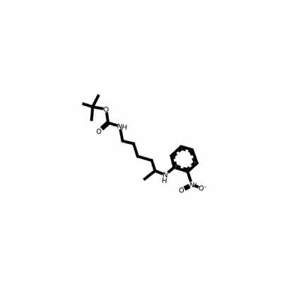 CC(CCCCNC(=O)OC(C)(C)C)Nc1ccccc1[N+](=O)[O-]